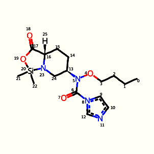 CCCCON(C(=O)n1ccnc1)[C@@H]1CC[C@H]2C(=O)O[Si](C)(C)N2C1